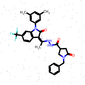 C/C(NNC(=O)C1CC(=O)N(Cc2ccccc2)C1)=C1/C(=O)N(c2cc(C)cc(C)c2)c2cc(C(F)(F)F)ccc21